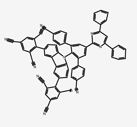 N#Cc1ccc(-c2cc(-c3nc(-c4ccccc4)cc(-c4ccccc4)n3)cc(-c3ccc(C#N)cc3)c2-n2c3ccc(-c4c(C#N)cc(C#N)cc4C#N)cc3c3cc(-c4c(C#N)cc(C#N)cc4C#N)ccc32)cc1